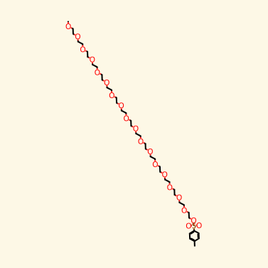 COCCOCCOCCOCCOCCOCCOCCOCCOCCOCCOCCOCCOCCOCCOCCOCCOCCOS(=O)(=O)c1ccc(C)cc1